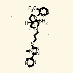 B[C@@]12CN(CCCSc3nnc(-c4cnccn4)n3C)C[C@@H]1CCN2c1ccccc1C(F)(F)F